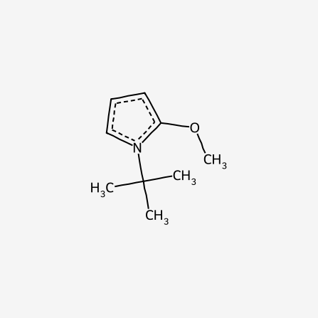 COc1cccn1C(C)(C)C